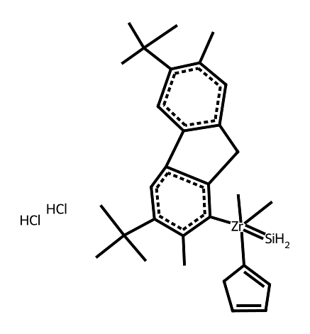 Cc1cc2c(cc1C(C)(C)C)-c1cc(C(C)(C)C)c(C)[c]([Zr]([CH3])([CH3])(=[SiH2])[C]3=CC=CC3)c1C2.Cl.Cl